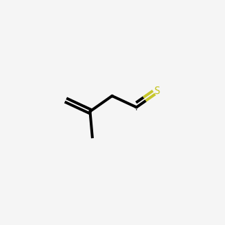 C=C(C)C[C]=S